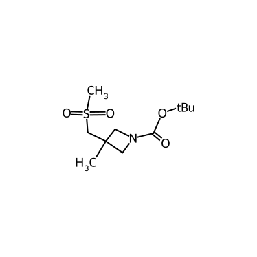 CC1(CS(C)(=O)=O)CN(C(=O)OC(C)(C)C)C1